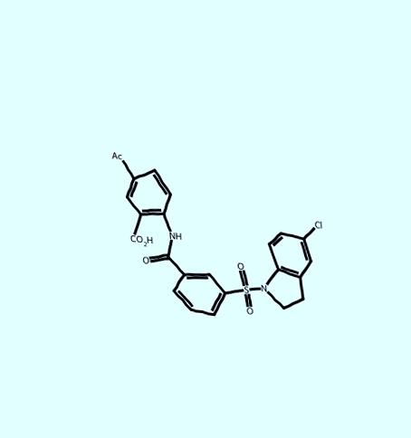 CC(=O)c1ccc(NC(=O)c2cccc(S(=O)(=O)N3CCc4cc(Cl)ccc43)c2)c(C(=O)O)c1